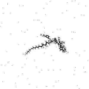 CCCCCCCCCCCCCCCCCCOC[C@H](COP(=O)(O)OC[C@H]1O[C@@](C)(c2ccc3c(N)ncnn23)[C@H](O)[C@@H]1O)OCc1cccc(OC)c1